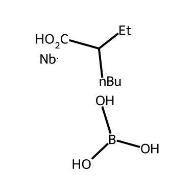 CCCCC(CC)C(=O)O.OB(O)O.[Nb]